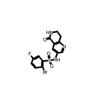 O=C1NCCc2ncc(NS(=O)(=O)c3cc(F)ccc3Br)cc21